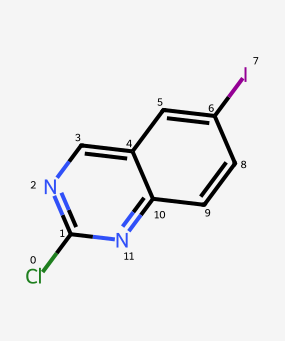 Clc1ncc2cc(I)ccc2n1